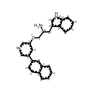 N[C@H](COc1cncc(-c2ccc3ccccc3c2)c1)Cc1c[nH]c2ccccc12